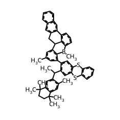 CB1c2cccc3c2C(Cc2cc4ccccc4cc2-3)c2cc(C)cc(-c3cc4c(cc3C(C)c3cc5c(cc3C)C(C)(C)CCC5(C)C)Sc3ccccc3S4)c21